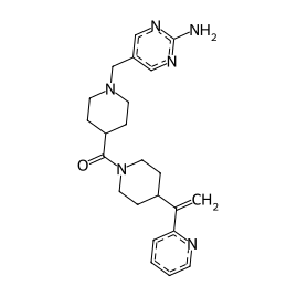 C=C(c1ccccn1)C1CCN(C(=O)C2CCN(Cc3cnc(N)nc3)CC2)CC1